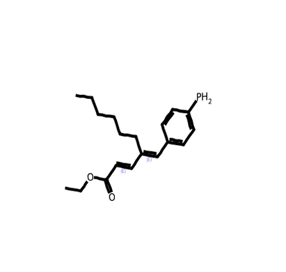 CCCCCCC(/C=C/C(=O)OCC)=C\c1ccc(P)cc1